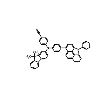 CC1(C)c2ccccc2-c2ccc(N(c3ccc(C#N)cc3)c3ccc(-c4ccc5c6c4ccc4cccc(c46)n5-c4ccccc4)cc3)cc21